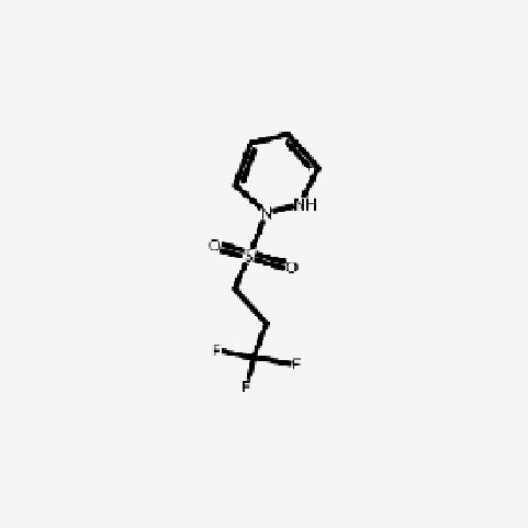 O=S(=O)(CCC(F)(F)F)N1C=CC=CN1